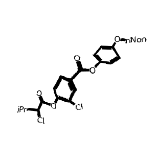 CCCCCCCCCOc1ccc(OC(=O)c2ccc(OC(=O)C(Cl)C(C)C)c(Cl)c2)cc1